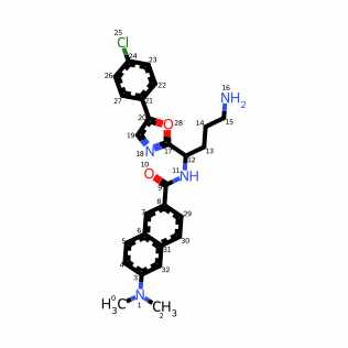 CN(C)c1ccc2cc(C(=O)NC(CCCN)c3ncc(-c4ccc(Cl)cc4)o3)ccc2c1